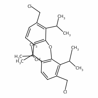 CC(C)c1ccc(CCl)c(C(C)C)c1Oc1c(C(C)C)ccc(CCl)c1C(C)C